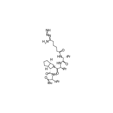 CCCC(NC(=O)[C@@H]1[C@H]2CCC[C@H]2CN1C(=O)[C@@H](NC(=O)[C@H](NC(=O)CCCC/C(N)=N/N=N)C(C)C)C(C)C)C(=O)[C@H](C)CC